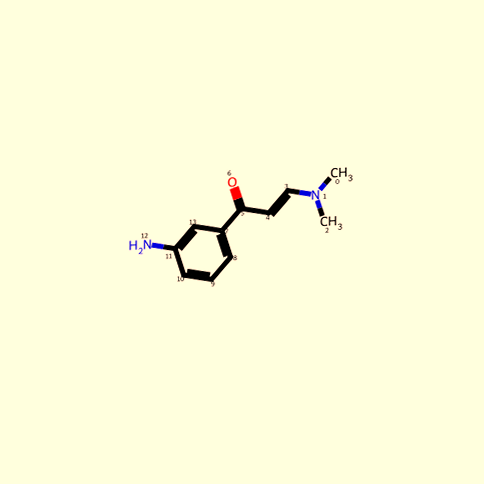 CN(C)C=CC(=O)c1cccc(N)c1